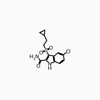 NC(=O)c1[nH]c2ccc(Cl)cc2c1S(=O)(=O)CCC1CC1